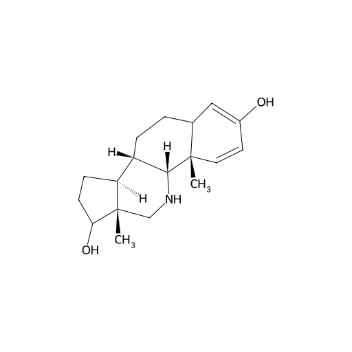 C[C@]12C=CC(O)=CC1CC[C@@H]1[C@H]2NC[C@]2(C)C(O)CC[C@@H]12